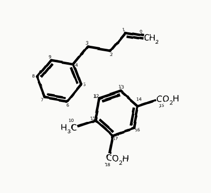 C=CCCc1ccccc1.Cc1ccc(C(=O)O)cc1C(=O)O